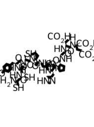 N[C@@H](CS)C(=O)N[C@@H](CS)C(=O)N[C@@H](Cc1ccc(O)cc1)C(=O)N[C@@H](CS)C(=O)N1CCC[C@H]1C(=O)NCC(=O)N[C@@H](Cc1c[nH]cn1)C(=O)N1CCC[C@H]1C(=O)NCC(=O)N[C@@H](CCC(=O)O)C(=O)N[C@@H](CCC(=O)O)C(=O)O